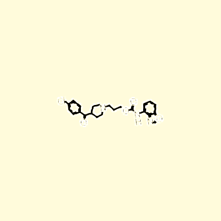 O=C(Nc1cccc2ocnc12)OCCCN1CCC(C(=O)c2ccc(Cl)cc2)CC1